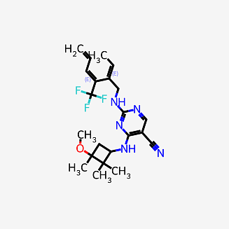 C=C/C=C(\C(=C/C)CNc1ncc(C#N)c(NC2CC(C)(OC)C2(C)C)n1)C(F)(F)F